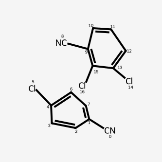 N#Cc1ccc(Cl)cc1.N#Cc1cccc(Cl)c1Cl